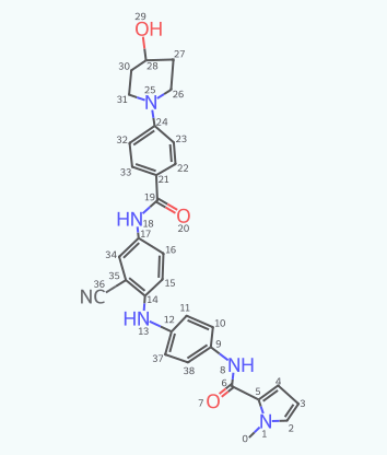 Cn1cccc1C(=O)Nc1ccc(Nc2ccc(NC(=O)c3ccc(N4CCC(O)CC4)cc3)cc2C#N)cc1